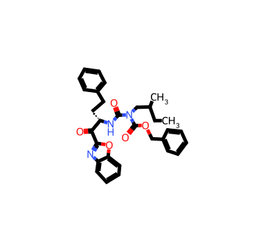 CCC(C)CN(C(=O)N[C@@H](CCc1ccccc1)C(=O)c1nc2ccccc2o1)C(=O)OCc1ccccc1